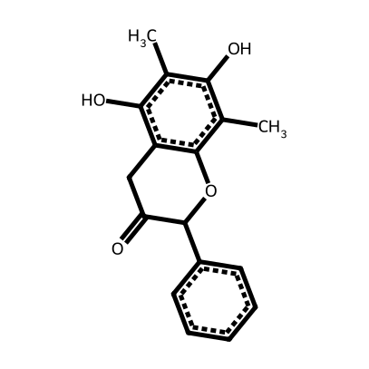 Cc1c(O)c(C)c2c(c1O)CC(=O)C(c1ccccc1)O2